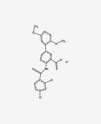 COc1ccc(OC)c(-c2ccc(NC(=O)c3ccc(Cl)cc3Cl)c(C(=O)[O-])c2)c1.[Li+]